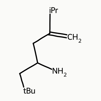 C=C(CC(N)CC(C)(C)C)C(C)C